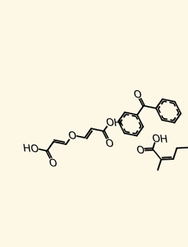 CC(=CCCO)C(=O)O.O=C(O)C=COC=CC(=O)O.O=C(c1ccccc1)c1ccccc1